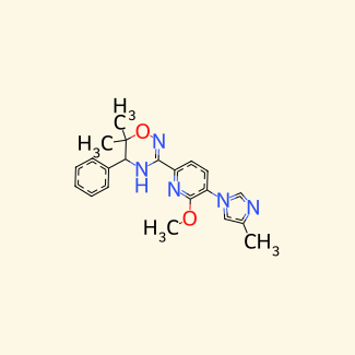 COc1nc(C2=NOC(C)(C)C(c3ccccc3)N2)ccc1-n1cnc(C)c1